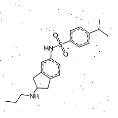 CCCNC1Cc2ccc(NS(=O)(=O)c3ccc(C(C)C)cc3)cc2C1